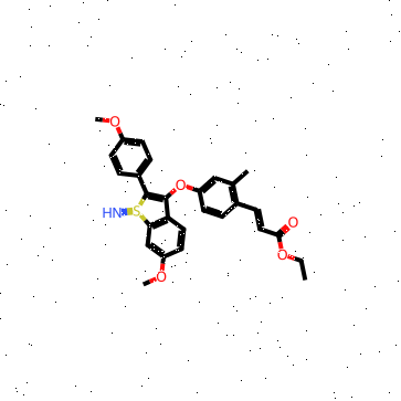 CCOC(=O)/C=C/c1ccc(OC2=C(c3ccc(OC)cc3)S(=N)c3cc(OC)ccc32)cc1C